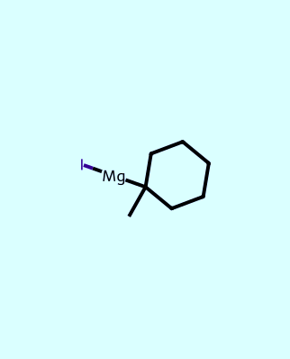 C[C]1([Mg][I])CCCCC1